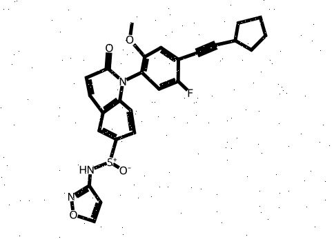 COc1cc(C#CC2CCCC2)c(F)cc1-n1c(=O)ccc2cc([S+]([O-])Nc3ccon3)ccc21